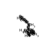 COc1cc(N2CCC(N(C)CCC3CCN(c4ccc(C5CCC(=O)NC5=O)cc4)CC3)CC2)c(C)cc1Nc1nc(Nc2cccc3c2N(S(C)(=O)=O)CC3)c2cc[nH]c2n1